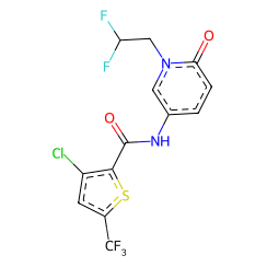 O=C(Nc1ccc(=O)n(CC(F)F)c1)c1sc(C(F)(F)F)cc1Cl